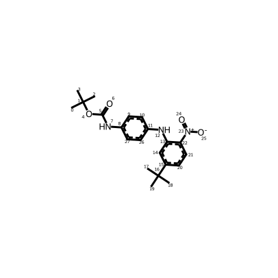 CC(C)(C)OC(=O)Nc1ccc(Nc2cc(C(C)(C)C)ccc2[N+](=O)[O-])cc1